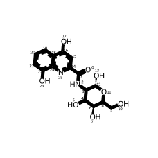 O=C(NC1C(O)[C@H](O)C(CO)O[C@H]1O)c1cc(O)c2cccc(O)c2n1